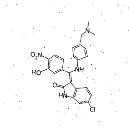 CN(C)Cc1ccc(NC(=C2C(=O)Nc3cc(Cl)ccc32)c2ccc([N+](=O)[O-])c(O)c2)cc1